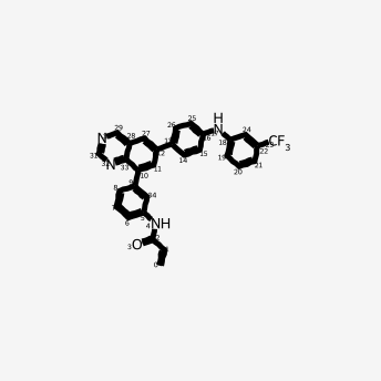 C=CC(=O)NC1=C=C=CC(c2cc(-c3ccc(Nc4cccc(C(F)(F)F)c4)cc3)cc3cncnc23)=C1